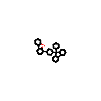 c1ccc(C2(c3ccc(-c4cccc5c4oc4ccccc45)cc3)c3ccccc3-c3ccccc32)cc1